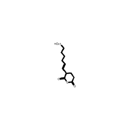 CCCCCCCCCCCCC=CC1CCC(=O)OC1=O